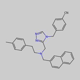 Cc1ccc(CCN(Cc2ccc3ccccc3c2)Cc2nncn2Cc2ccc(C#N)cc2)cc1